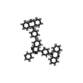 c1ccc(-c2nc(-c3ccc(N4c5ccccc5Sc5ccccc54)cc3)c3ccc(-c4ccc(N5c6ccccc6Oc6ccccc65)cc4)cc3n2)cc1